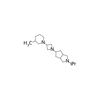 CC1CCCN(C2CN(C3CC4CN(C(C)C)CC4C3)C2)C1